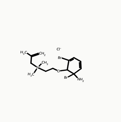 C=C(C)C[N+](C)(C)CCOC1C(Br)=CC=CC1(N)Br.[Cl-]